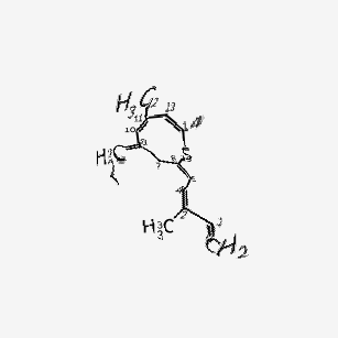 C=C/C(C)=C\C=C1/CC(=C)/C=C(C)\C=C/S1